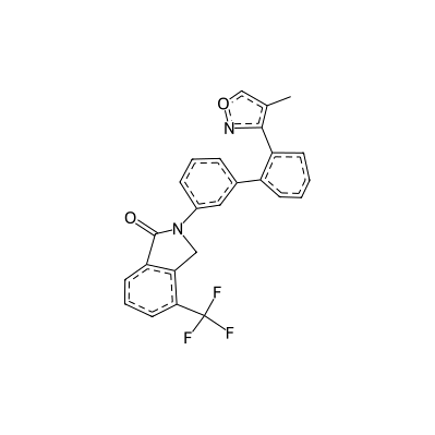 Cc1conc1-c1ccccc1-c1cccc(N2Cc3c(cccc3C(F)(F)F)C2=O)c1